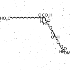 CONC(=O)COCCOCCNC(=O)COCCOCCNC(=O)CC[C@H](NC(=O)CCCCCCCCCCCCCCCCC(=O)O)C(=O)O